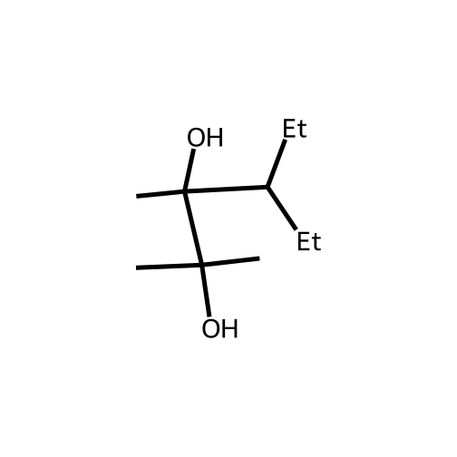 CCC(CC)C(C)(O)C(C)(C)O